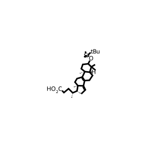 C[C@H](CCC(=O)O)[C@H]1CC=C2C3=C(CC[C@@]21C)[C@@]1(C)CCC(O[Si](C)(C)C(C)(C)C)C(C)(C)[C@@H]1CC3